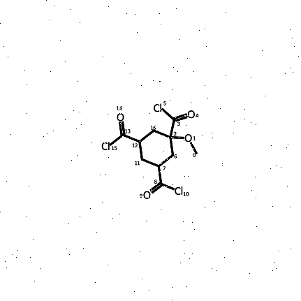 COC1(C(=O)Cl)CC(C(=O)Cl)CC(C(=O)Cl)C1